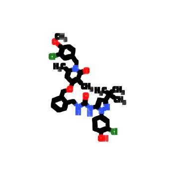 COc1ccc(Cn2c(C)cc(OCc3ccccc3CNC(=O)Nc3cc(C(C)(C)C)nn3-c3ccc(O)c(Cl)c3)c(C)c2=O)cc1Cl